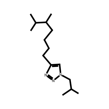 CC(C)Cn1cc(CCCCC(C)C(C)C)nn1